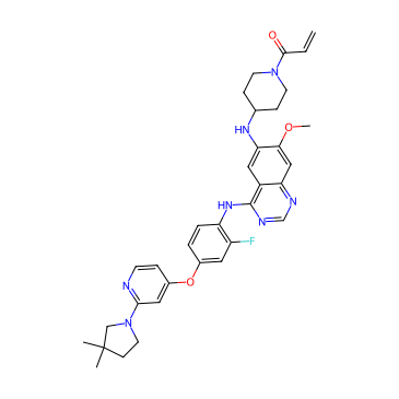 C=CC(=O)N1CCC(Nc2cc3c(Nc4ccc(Oc5ccnc(N6CCC(C)(C)C6)c5)cc4F)ncnc3cc2OC)CC1